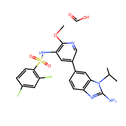 COc1ncc(-c2ccc3nc(N)n(C(C)C)c3c2)cc1NS(=O)(=O)c1ccc(F)cc1F.O=CO